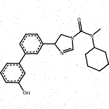 CN(C(=O)N1C=NC(c2cccc(-c3cccc(O)c3)c2)C1)C1CCCCC1